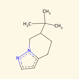 CC(C)(C)C1CCc2ccnn2C1